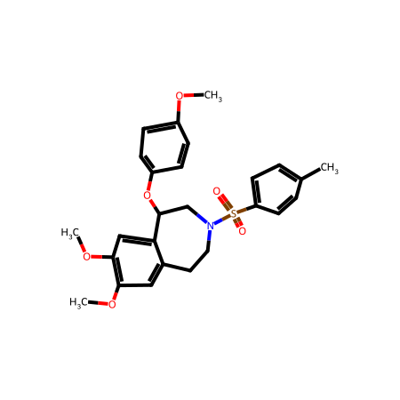 COc1ccc(OC2CN(S(=O)(=O)c3ccc(C)cc3)CCc3cc(OC)c(OC)cc32)cc1